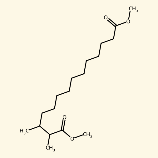 COC(=O)CCCCCCCCCCC(C)C(C)C(=O)OC